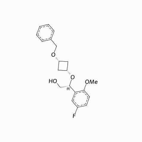 COc1ccc(F)cc1[C@H](CO)O[C@H]1C[C@@H](OCc2ccccc2)C1